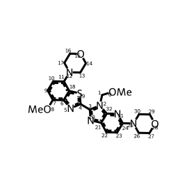 COCn1c(-c2nc3c(OC)ccc(N4CCOCC4)c3s2)nc2ccc(N3CCOCC3)nc21